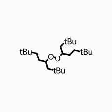 CC(C)(C)CCC(CC(C)(C)C)OOC(CCC(C)(C)C)CC(C)(C)C